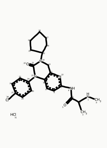 CNC(C)C(=O)Nc1ccc2c(n1)CN(C1CCCCC1)C(=O)N2c1ccc(Cl)cc1.Cl